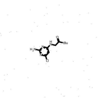 CC(C)(C)C(=O)CNc1cc(Cl)nc(N)n1